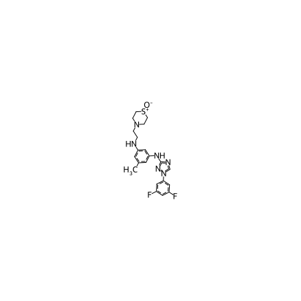 Cc1cc(NCCN2CC[S+]([O-])CC2)cc(Nc2ncn(-c3cc(F)cc(F)c3)n2)c1